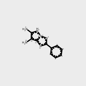 Nc1[nH]n2nc(-c3ccccc3)nc2c1N